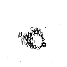 CC[C@H](C)[C@@H]1NC(=O)[C@H](CC(C)(C)C)NC(=O)C(C)(C)NC(=O)CCSCc2cccc(c2)CSCCNC1=O